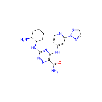 NC(=O)c1nnc(N[C@@H]2CCCC[C@@H]2N)nc1Nc1ccnc(-n2nccn2)c1